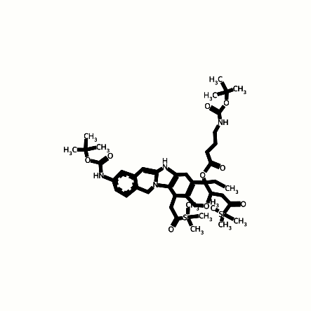 CCC1(OC(=O)CCCNC(=O)OC(C)(C)C)C2=C(COC1CC(=O)[Si](C)(C)C)C(CC(=O)[Si](C)(C)C)C1=C(C2)NC2=Cc3cc(NC(=O)OC(C)(C)C)ccc3CN21